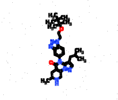 CC(C)Cc1cnn2c3c(c(=O)n(-c4ccc5c(c4)nnn5CCO[Si](C)(C)C(C)(C)C)c12)CC(C)NC3